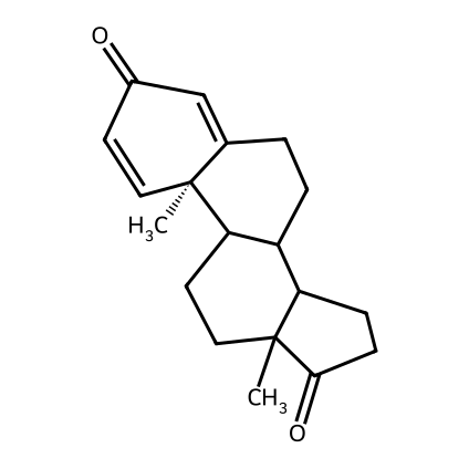 CC12CCC3C(CCC4=CC(=O)C=C[C@@]43C)C1CCC2=O